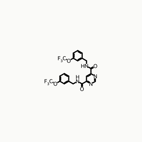 O=C(NCc1cccc(OC(F)(F)F)c1)c1cc(C(=O)NCc2cccc(OC(F)(F)F)c2)ncn1